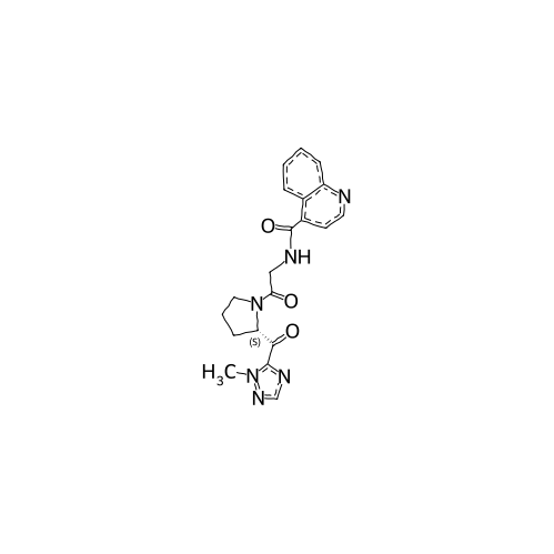 Cn1ncnc1C(=O)[C@@H]1CCCN1C(=O)CNC(=O)c1ccnc2ccccc12